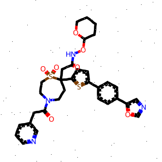 O=C(CC1(c2ccc(-c3ccc(-c4cnco4)cc3)s2)CCN(C(=O)Cc2cccnc2)CCS1(=O)=O)NOC1CCCCO1